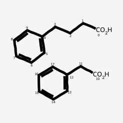 O=C(O)CCCc1ccccc1.O=C(O)Cc1ccccc1